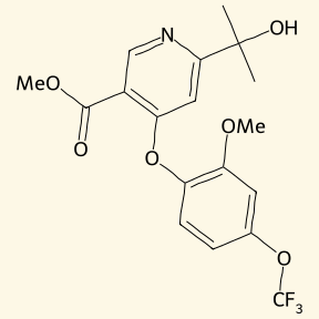 COC(=O)c1cnc(C(C)(C)O)cc1Oc1ccc(OC(F)(F)F)cc1OC